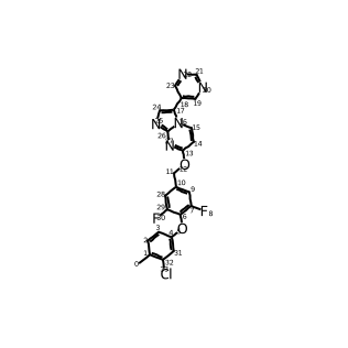 Cc1ccc(Oc2c(F)cc(COc3ccn4c(-c5cncnc5)cnc4n3)cc2F)cc1Cl